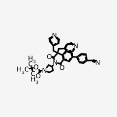 CC(C)(C)OC(=O)N1CCC(N2C(=O)c3cc(-c4ccc(C#N)cc4)ccc3C(Cc3ccncc3)(Cc3ccncc3)C2=O)C1